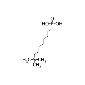 C[Si](C)(C)CCCCCCCCP(=O)(O)O